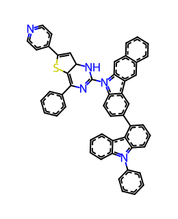 C1=C(c2ccncc2)SC2=C(c3ccccc3)N=C(n3c4ccc(-c5cccc6c5c5ccccc5n6-c5ccccc5)cc4c4cc5ccccc5cc43)NC12